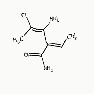 C/C=C(C(N)=O)\C(N)=C(/C)Cl